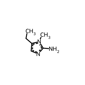 CCc1cnc(N)n1C